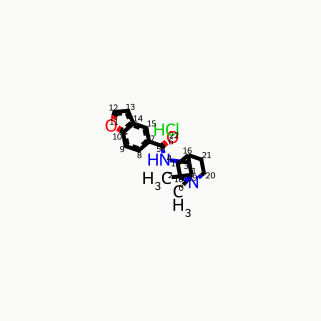 CC1(C)C(NC(=O)c2ccc3occc3c2)C2CCN1CC2.Cl